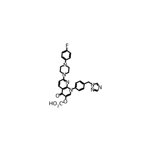 O=C(O)Oc1cn(-c2ccc(Cn3cncn3)cc2)c2nc(N3CCN(c4ccc(F)cc4)CC3)ccc2c1=O